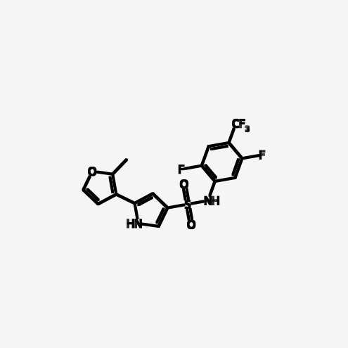 Cc1occc1-c1cc(S(=O)(=O)Nc2cc(F)c(C(F)(F)F)cc2F)c[nH]1